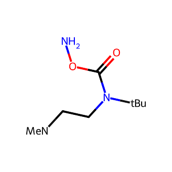 CNCCN(C(=O)ON)C(C)(C)C